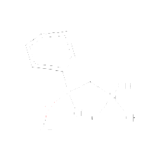 CO[Si](C)(C[Si](C)(C)C)c1ccccc1